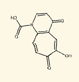 O=C(O)n1ccc(=O)c2cc(O)c(=O)ccc21